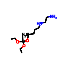 CCO[Si](C)(OCC)O[SiH2]CCCNCCN